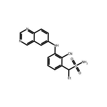 CCC(c1cccc(Nc2ccc3ncncc3c2)c1C#N)S(N)(=O)=O